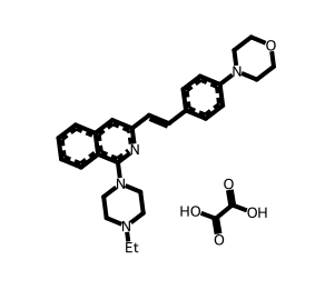 CCN1CCN(c2nc(/C=C/c3ccc(N4CCOCC4)cc3)cc3ccccc23)CC1.O=C(O)C(=O)O